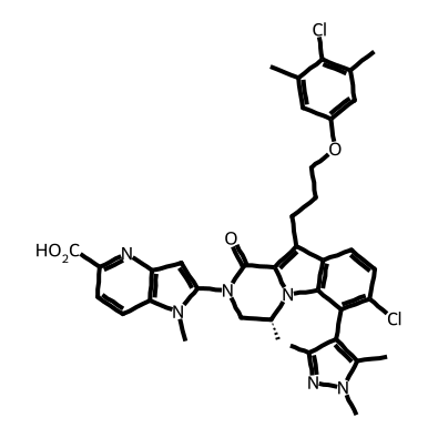 Cc1cc(OCCCc2c3n(c4c(-c5c(C)nn(C)c5C)c(Cl)ccc24)[C@H](C)CN(c2cc4nc(C(=O)O)ccc4n2C)C3=O)cc(C)c1Cl